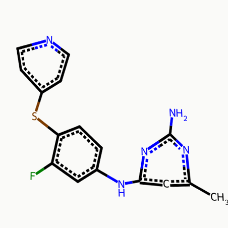 Cc1cc(Nc2ccc(Sc3ccncc3)c(F)c2)nc(N)n1